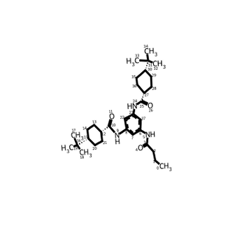 CCCC(=O)Nc1cc(NC(=O)[C@H]2CC[C@@H](C(C)(C)C)CC2)cc(NC(=O)[C@H]2CC[C@@H](C(C)(C)C)CC2)c1